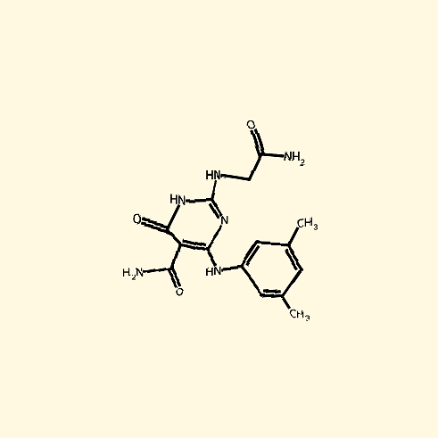 Cc1cc(C)cc(Nc2nc(NCC(N)=O)[nH]c(=O)c2C(N)=O)c1